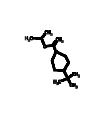 C=C(OC(C)C)N1CCC(C(C)(C)C)CC1